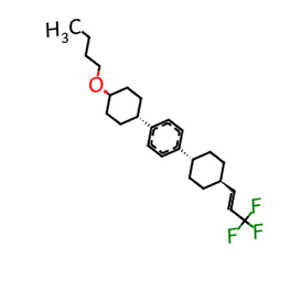 CCCCO[C@H]1CC[C@H](c2ccc([C@H]3CC[C@H](/C=C/C(F)(F)F)CC3)cc2)CC1